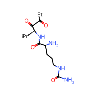 CCC(=O)C(=O)[C@@H](NC(=O)[C@@H](N)CCCNC(N)=O)C(C)C